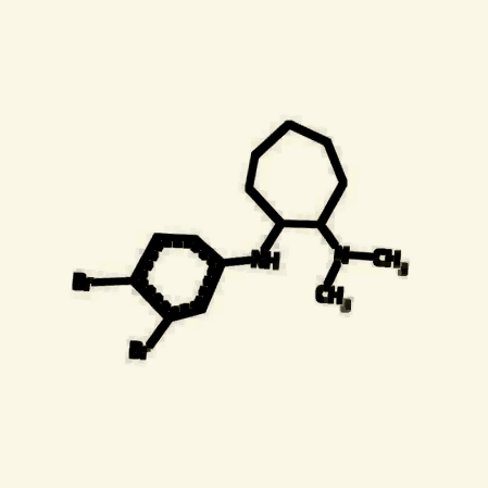 CN(C)C1CCCCCC1Nc1ccc(Br)c(Br)c1